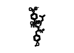 C=N[C@@H](Cc1ccc(OC)cc1)[C@@H](CNCC(C)C)NS(=O)(=O)c1ccc([N+](=O)[O-])cc1